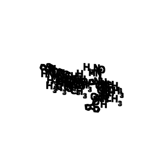 CC[C@H](C)[C@@H]([C@@H](CC(=O)N1CCC[C@H]1[C@H](OC)[C@@H](C)C(=O)N[C@@H](Cc1ccccc1)c1nccs1)OC)N(C)C(=O)[C@@H](NC(=O)C(C)(C)NC(=O)OCc1ccc(NC(=O)[C@H](CCCNC(N)=O)NC(=O)[C@@H](NC(=O)[C@H](CNC(=O)OCC2c3ccccc3-c3ccccc32)NC(C)=O)C(C)C)cc1)C(C)C